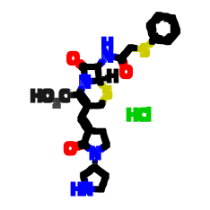 Cl.O=C(CSc1ccccc1)N[C@@H]1C(=O)N2C(C(=O)O)=C(/C=C3\CCN([C@@H]4CCNC4)C3=O)CS[C@H]12